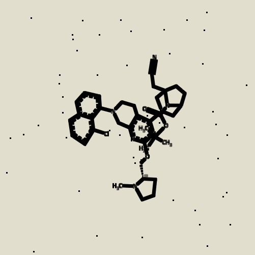 CN1CCC[C@H]1COc1nc2c(c(N3CC4CCC(CC#N)(C3)N4C(=O)OC(C)(C)C)n1)CCN(c1cccc3cccc(Cl)c13)C2